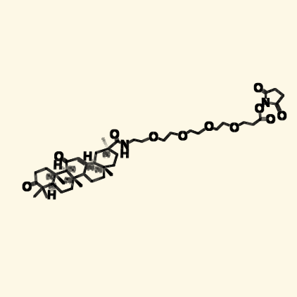 CC1(C)C(=O)CC[C@]2(C)[C@H]3C(=O)C=C4C(CC[C@@]5(C)CC[C@](C)(C(=O)NCCOCCOCCOCCOCCC(=O)ON6C(=O)CCC6=O)C[C@H]45)[C@]3(C)CC[C@@H]12